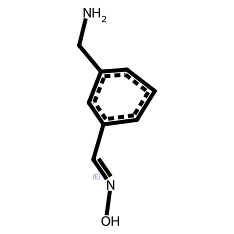 NCc1cccc(/C=N/O)c1